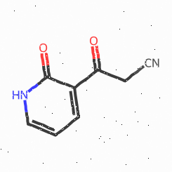 N#CCC(=O)c1ccc[nH]c1=O